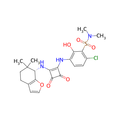 CN(C)S(=O)(=O)c1c(Cl)ccc(Nc2c(N[C@@H]3c4occc4CCC3(C)C)c(=O)c2=O)c1O